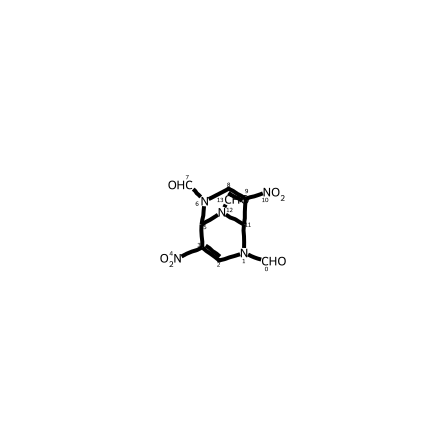 O=CN1C=C([N+](=O)[O-])C2N(C=O)C=C([N+](=O)[O-])C1N2C=O